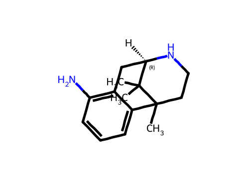 CC12CCN[C@H](Cc3c(N)cccc31)C2(C)C